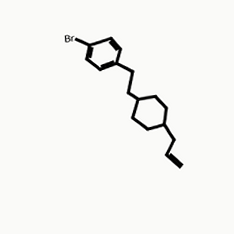 C=CCC1CCC(CCc2ccc(Br)cc2)CC1